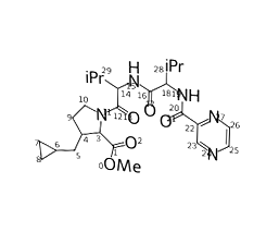 COC(=O)C1C(CC2CC2)CCN1C(=O)C(NC(=O)C(NC(=O)c1cnccn1)C(C)C)C(C)C